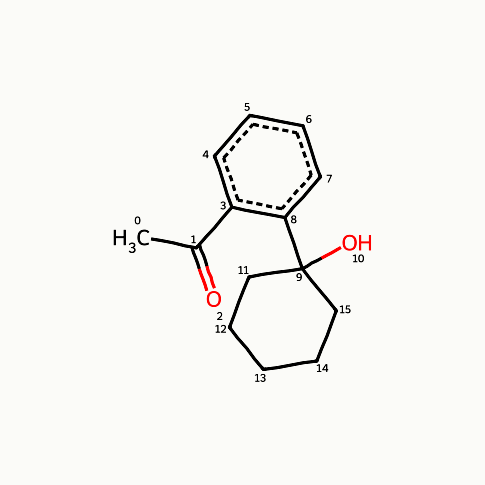 CC(=O)c1ccccc1C1(O)CCCCC1